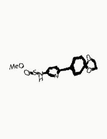 COOSNc1ccc(C2CCC3(CC2)OCCO3)nc1